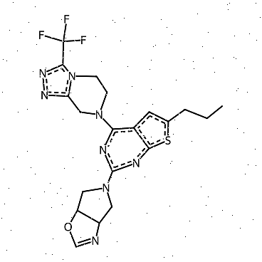 CCCc1cc2c(N3CCn4c(nnc4C(F)(F)F)C3)nc(N3CC4N=COC4C3)nc2s1